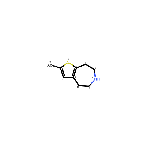 CC(=O)c1cc2c(s1)CCNCC2